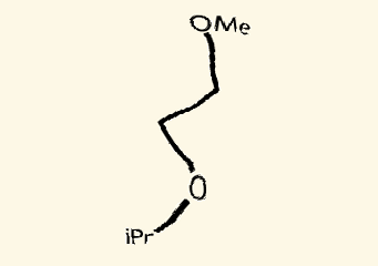 [CH2]OCCOC(C)C